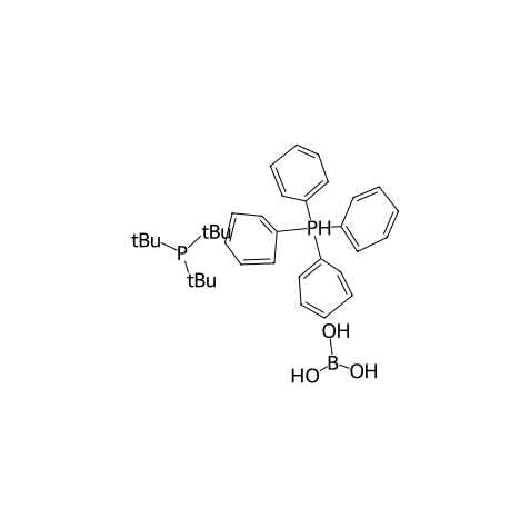 CC(C)(C)P(C(C)(C)C)C(C)(C)C.OB(O)O.c1ccc([PH](c2ccccc2)(c2ccccc2)c2ccccc2)cc1